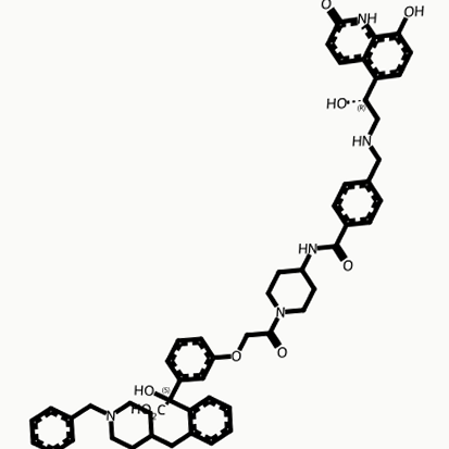 O=C(NC1CCN(C(=O)COc2cccc([C@@](O)(C(=O)O)c3ccccc3CC3CCN(Cc4ccccc4)CC3)c2)CC1)c1ccc(CNC[C@H](O)c2ccc(O)c3[nH]c(=O)ccc23)cc1